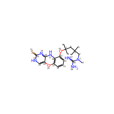 CN(CC(C)(C)CC(C)(C)Oc1cccc2c1Nc1nc(=S)[nH]cc1O2)C(=N)N